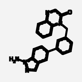 Nn1ncc2cc(-c3cccc(Cn4c(=O)cnc5ccccc54)c3)ccc21